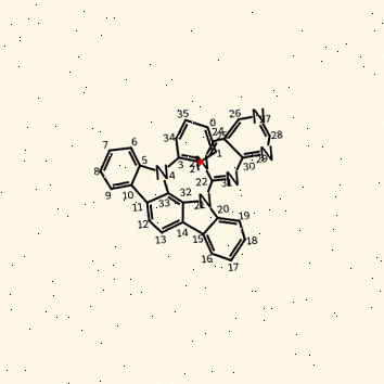 c1ccc(-n2c3ccccc3c3ccc4c5ccccc5n(-c5ncc6cncnc6n5)c4c32)cc1